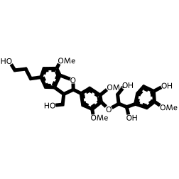 COc1cc(C(O)C(CO)Oc2c(OC)cc(C3Oc4c(OC)cc(CCCO)cc4C3CO)cc2OC)ccc1O